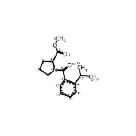 COC(=O)C1CCCN1C(=O)c1ccccc1C(C)C